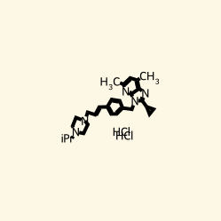 Cc1cc(C)c2nc(C3CC3)n(Cc3ccc(/C=C/CN4CCN(C(C)C)CC4)cc3)c2n1.Cl.Cl